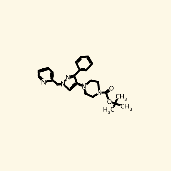 CC(C)(C)OC(=O)N1CCN(c2cn(Cc3ccccn3)nc2-c2ccccc2)CC1